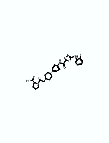 O=C(Nc1ccc([C@H]2CC[C@H](CC(=O)N3CCC[C@H]3C(=O)O)CC2)cc1)c1nnc(Nc2ccccc2F)o1